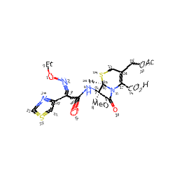 CCON=C(C(=O)N[C@]1(OC)C(=O)N2C(C(=O)O)=C(COC(C)=O)CS[C@@H]21)c1cscn1